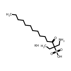 CCCCCCCCCCCC(=O)C(CC)(CN)S(=O)(=O)O.[KH]